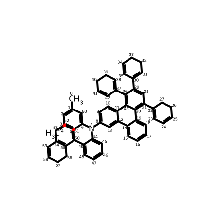 Cc1cc(C)cc(N(c2ccc3c(c2)c2ccccc2c2c(C4=CC=CCC4)cc(C4=CCCC=C4)c(C4=CCCC=C4)c32)c2ccccc2C2=CCCC3=C2CCC=C3)c1